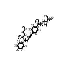 CCCCC(=O)N(CC#Cc1ccc(C(=O)NCCN(C)C)cc1)c1ccccc1